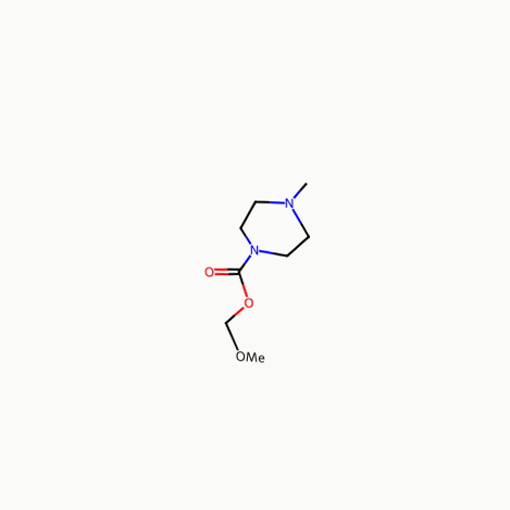 COCOC(=O)N1CCN(C)CC1